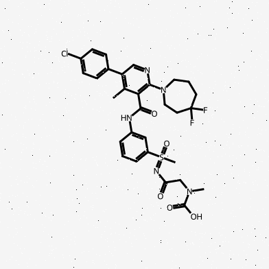 Cc1c(-c2ccc(Cl)cc2)cnc(N2CCCC(F)(F)CC2)c1C(=O)Nc1cccc(S(C)(=O)=NC(=O)CN(C)C(=O)O)c1